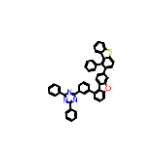 C1=CC(c2cccc3oc4cc(-c5ccc6sc7ccccc7c6c5-c5ccccc5)ccc4c23)=CC(c2nc(-c3ccccc3)nc(-c3ccccc3)n2)C1